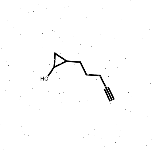 C#CCCCC1CC1O